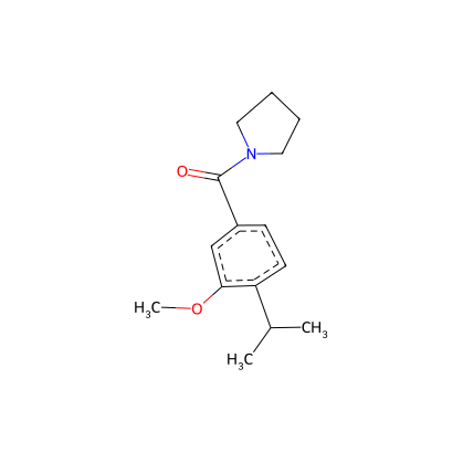 COc1cc(C(=O)N2CCCC2)ccc1C(C)C